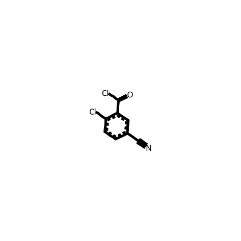 N#Cc1ccc(Cl)c(C(=O)Cl)c1